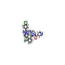 O=C(c1ccncc1)N1CCN(Cc2c(-c3ccc(Cl)cc3)nc3ccc(-c4c(F)cccc4F)cn23)CC1